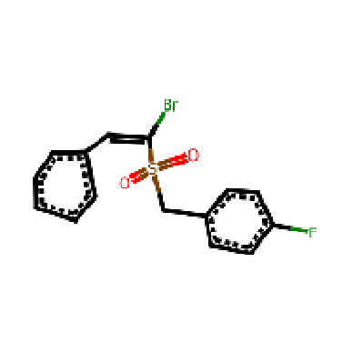 O=S(=O)(Cc1ccc(F)cc1)/C(Br)=C\c1ccccc1